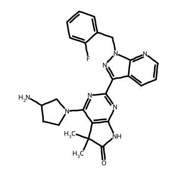 CC1(C)C(=O)Nc2nc(-c3nn(Cc4ccccc4F)c4ncccc34)nc(N3CCC(N)C3)c21